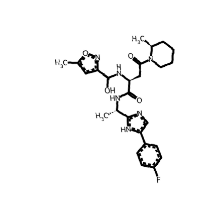 Cc1cc(C(O)N[C@@H](CC(=O)N2CCCC[C@@H]2C)C(=O)N[C@@H](C)c2ncc(-c3ccc(F)cc3)[nH]2)no1